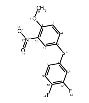 COc1ccc(Sc2ccc(F)c(F)c2)cc1[N+](=O)[O-]